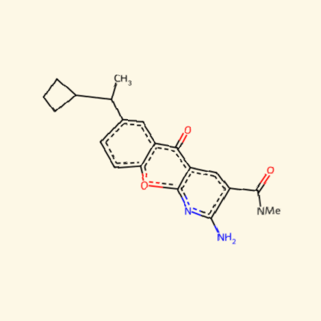 CNC(=O)c1cc2c(=O)c3cc(C(C)C4CCC4)ccc3oc2nc1N